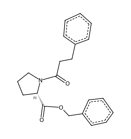 O=C(OCc1ccccc1)[C@@H]1CCCN1C(=O)CCc1ccccc1